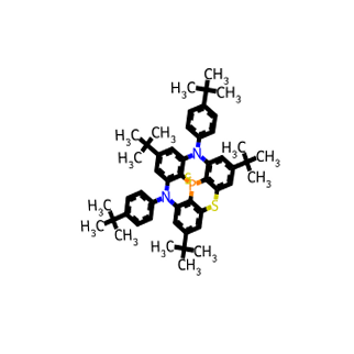 CC(C)(C)c1ccc(N2c3cc(C(C)(C)C)cc4c3P3(=S)c5c(cc(C(C)(C)C)cc5N(c5ccc(C(C)(C)C)cc5)c5cc(C(C)(C)C)cc2c53)S4)cc1